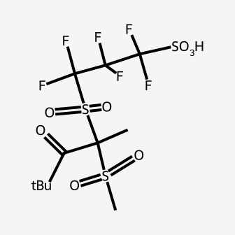 CC(C)(C)C(=O)C(C)(S(C)(=O)=O)S(=O)(=O)C(F)(F)C(F)(F)C(F)(F)S(=O)(=O)O